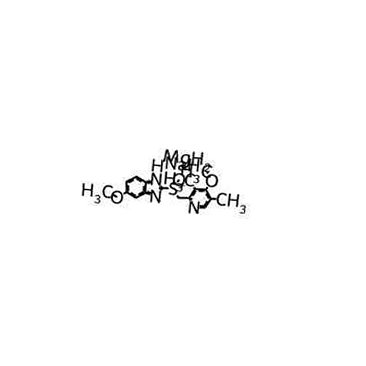 COc1ccc2[nH]c([S+]([O-])Cc3ncc(C)c(OC)c3C)nc2c1.[MgH2].[NaH]